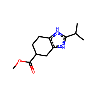 COC(=O)C1CCc2[nH]c(C(C)C)nc2C1